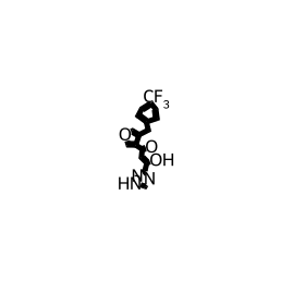 O=C(C=C(O)c1nc[nH]n1)c1cocc1Cc1ccc(C(F)(F)F)cc1